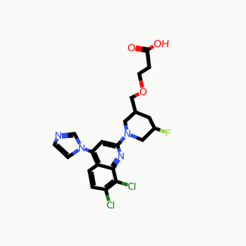 O=C(O)CCOCC1CC(F)CN(c2cc(-n3ccnc3)c3ccc(Cl)c(Cl)c3n2)C1